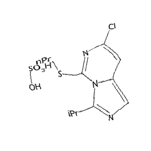 CCCSc1nc(Cl)cc2cnc(C(C)C)n12.O=S(=O)(O)O